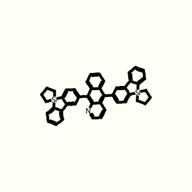 c1ccc2c(c1)-c1cc(-c3c4ccccc4c(-c4ccc5c(c4)-c4ccccc4[Si]54CCCC4)c4ncccc34)ccc1[Si]21CCCC1